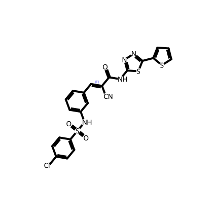 N#C/C(=C\c1cccc(NS(=O)(=O)c2ccc(Cl)cc2)c1)C(=O)Nc1nnc(-c2cccs2)s1